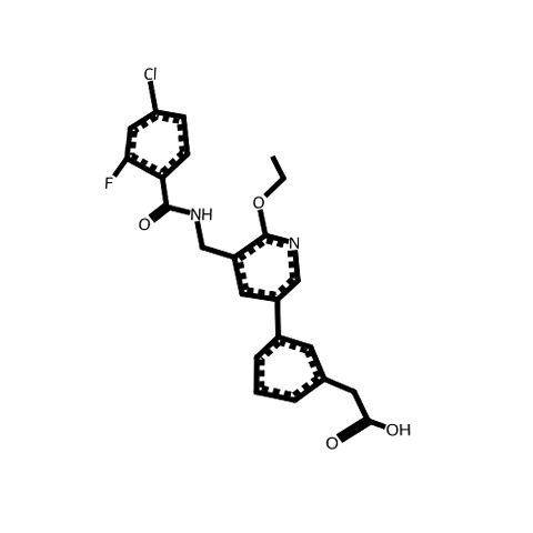 CCOc1ncc(-c2cccc(CC(=O)O)c2)cc1CNC(=O)c1ccc(Cl)cc1F